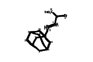 CCC(NNC12CC3CC(CC(C3)C1)C2)C(=O)O